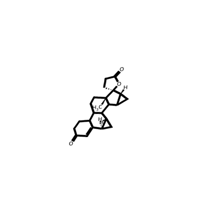 C[C@]12CCC3C4CCC(=O)C=C4[C@@H]4C[C@@H]4C3C1C1C[C@H]1[C@@]21CCC(=O)O1